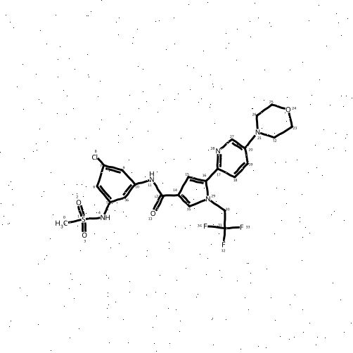 CS(=O)(=O)Nc1cc(Cl)cc(NC(=O)c2cc(-c3ccc(N4CCOCC4)cn3)n(CC(F)(F)F)c2)c1